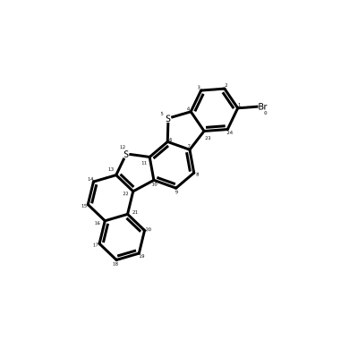 Brc1ccc2sc3c(ccc4c3sc3ccc5ccccc5c34)c2c1